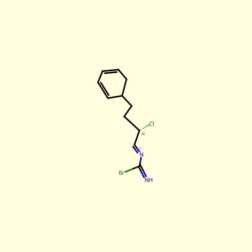 N=C(Br)/N=C/[C@@H](Cl)CCC1C=CC=CC1